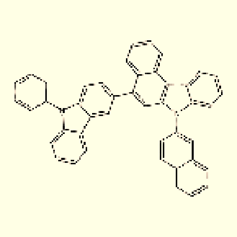 c1ccc(-n2c3ccccc3c3cc(-c4cc5c(c6ccccc46)c4ccccc4n5-c4ccc5ccccc5c4)ccc32)cc1